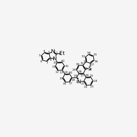 CCc1nc2ccccc2n1-c1ccc(-c2cccc(-c3nc4ccccc4c4c3ccc3c5ccccc5sc34)c2)cc1